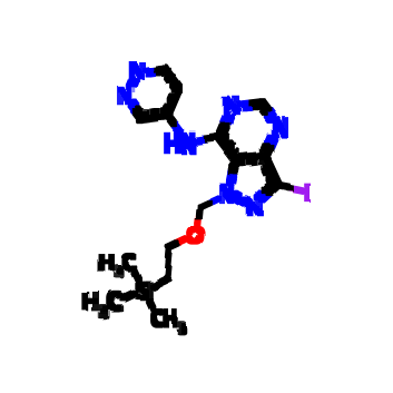 C[Si](C)(C)CCOCn1nc(I)c2ncnc(Nc3ccnnc3)c21